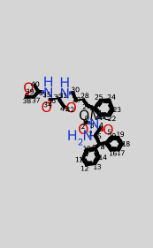 COC(=O)N(C(=O)[C@@H](N)C(c1ccccc1)c1ccccc1)c1ccccc1CC[C@@H]1CN[C@H](C(=O)NC2CCOC2)CO1